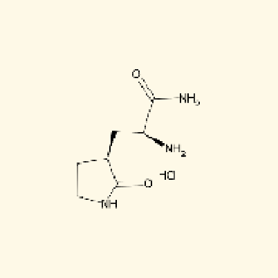 Cl.NC(=O)[C@@H](N)C[C@@H]1CCNC1=O